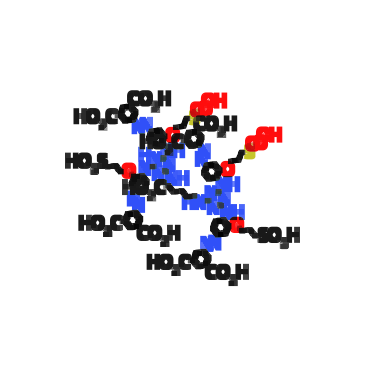 O=C(O)c1cc(N=Nc2ccc(Nc3nc(NCCCCC(Nc4nc(Nc5ccc(N=Nc6cc(C(=O)O)cc(C(=O)O)c6)cc5OCCCSOOO)nc(Nc5ccc(N=Nc6cc(C(=O)O)cc(C(=O)O)c6)cc5OCCCS(=O)(=O)O)n4)C(=O)O)nc(Nc4ccc(N=Nc5cc(C(=O)O)cc(C(=O)O)c5)cc4OCCCS(=O)(=O)O)n3)c(OCCCSOOO)c2)cc(C(=O)O)c1